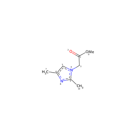 COC(=O)Cn1cc(C)nc1C